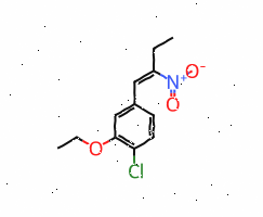 CCOc1cc(C=C(CC)[N+](=O)[O-])ccc1Cl